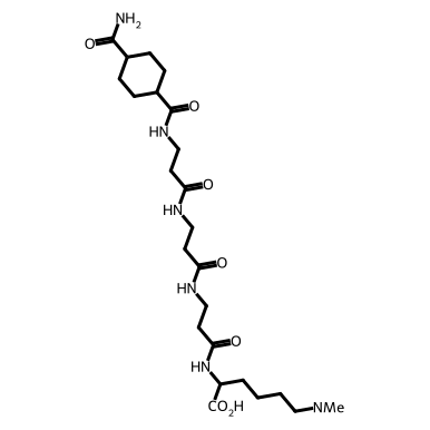 CNCCCCC(NC(=O)CCNC(=O)CCNC(=O)CCNC(=O)C1CCC(C(N)=O)CC1)C(=O)O